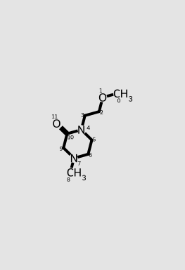 COCCN1CCN(C)CC1=O